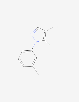 O=Cc1cnn(-c2cccc([N+](=O)[O-])c2)c1Cl